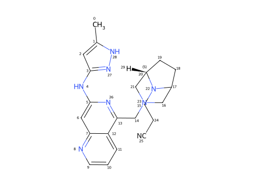 Cc1cc(Nc2cc3ncccc3c(CN3CC4CC[C@@H](C3)N4CCC#N)n2)n[nH]1